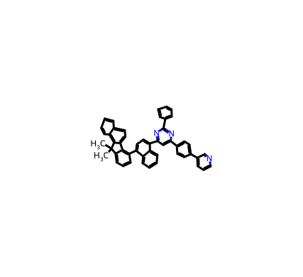 CC1(C)c2cccc(-c3ccc(-c4cc(-c5ccc(-c6cccnc6)cc5)nc(-c5ccccc5)n4)c4ccccc34)c2-c2ccc3ccccc3c21